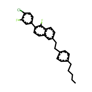 CCCCCc1ccc(CCc2ccc3c(F)c(-c4ccc(Cl)c(F)c4)ccc3c2)cc1